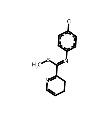 CSC(=Nc1ccc(Cl)cc1)C1=NC=CCC1